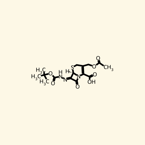 CC(=O)OCC1=C(C(=O)O)N2C(=O)/C(=N/NC(=O)OC(C)(C)C)[C@H]2SC1